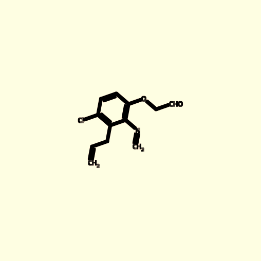 C=CCc1c(Cl)ccc(OCC=O)c1N=C